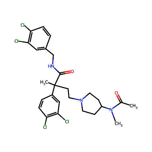 CC(=O)N(C)C1CCN(CCC(C)(C(=O)NCc2ccc(Cl)c(Cl)c2)c2ccc(Cl)c(Cl)c2)CC1